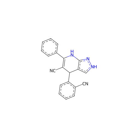 N#CC1=C(c2ccccc2)Nc2n[nH]cc2C1c1ccccc1C#N